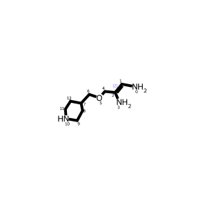 N/C=C(\N)COCC1CCNCC1